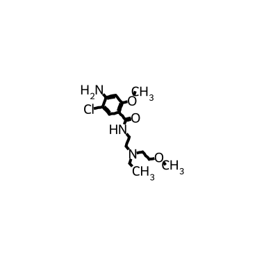 CCN(CCNC(=O)c1cc(Cl)c(N)cc1OC)CCOC